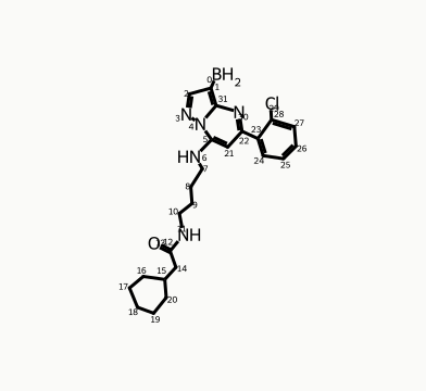 Bc1cnn2c(NCCCCNC(=O)CC3CCCCC3)cc(-c3ccccc3Cl)nc12